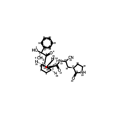 C[C@@](O)(C(=O)N1[C@@H]2CC[C@H]([C@@H]1C(=O)N[C@@H](C#N)C[C@H]1CCNC1=O)C(F)(F)C2)c1ccccc1